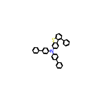 c1ccc(-c2ccc(N(c3ccc(-c4ccccc4)cc3)c3ccc4c(c3)sc3cccc(-c5ccccc5)c34)cc2)cc1